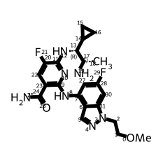 COCCn1ncc2c(Nc3nc(N[C@H](C4CC4)[C@H](C)N)c(F)cc3C(N)=O)cc(F)cc21